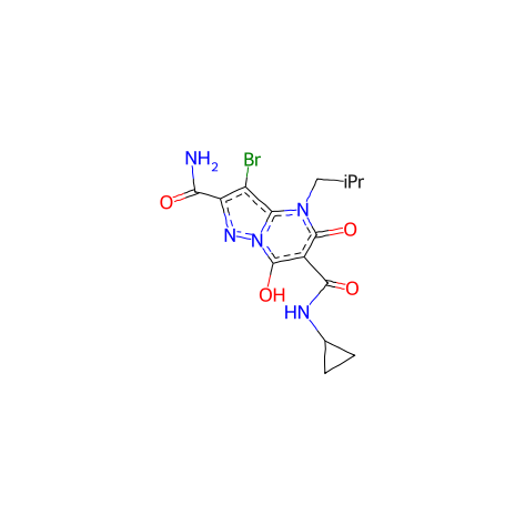 CC(C)Cn1c(=O)c(C(=O)NC2CC2)c(O)n2nc(C(N)=O)c(Br)c12